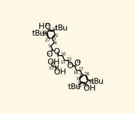 CC(C)(C)c1cc(CCC(=O)OCCCCOC(=O)CCc2cc(C(C)(C)C)c(O)c(C(C)(C)C)c2)cc(C(C)(C)C)c1O.OCCO